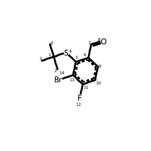 CC(C)(C)Sc1c(C=O)ccc(F)c1Br